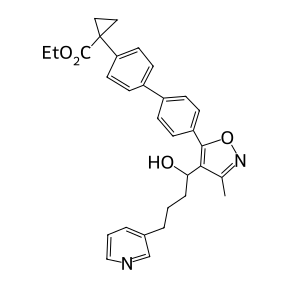 CCOC(=O)C1(c2ccc(-c3ccc(-c4onc(C)c4C(O)CCCc4cccnc4)cc3)cc2)CC1